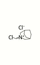 ClC=[N+]1CC2CCC(CC2)C1.[Cl-]